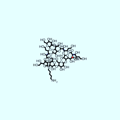 NCCCCCOC1OC([C@H](O)CO)C(OC(O)/C(O)=C(\OC2OC([C@H](O)CO)C(OC(O)/C(O)=C(\OC3OC([C@H](O)CO)C(OC4OC(CO)C(OC5OC(CO)C(O)C(O)C5O)C(O)C4O)C3O)C(CCO)OC(O)/C(O)=C(\O)C(O)CCO)C2O)C(CCO)OC2OC(CO)C(O)C(O)C2O)C1O